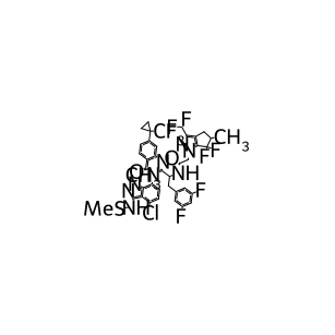 CSNc1nn(C)c2c(-n3c(C(Cc4cc(F)cc(F)c4)NC(=O)Cn4nc(C(F)F)c5c4C(F)(F)C(C)C5)nc4cc(C5(C(F)(F)F)CC5)ccc4c3=O)ccc(Cl)c12